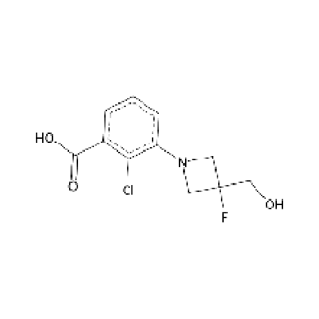 O=C(O)c1cccc(N2CC(F)(CO)C2)c1Cl